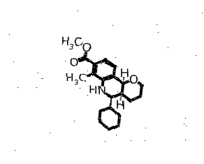 COC(=O)c1ccc2c(c1C)N[C@H](C1CCCCC1)[C@@H]1CCCO[C@H]21